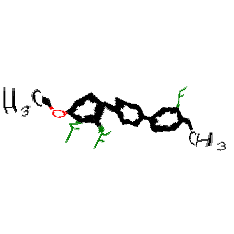 CCOc1ccc(-c2ccc(-c3ccc(CC)c(F)c3)cc2)c(F)c1F